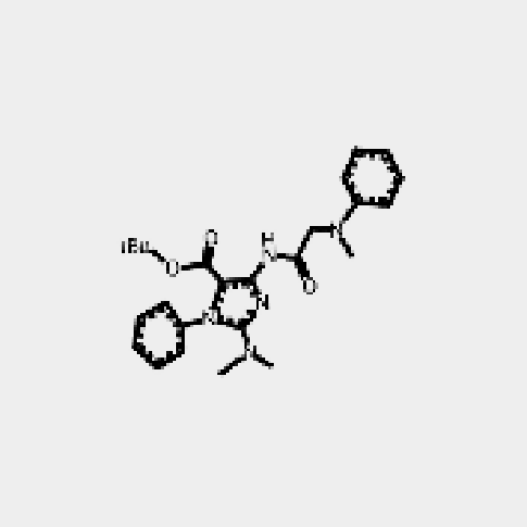 CN(C)c1nc(NC(=O)CN(C)c2ccccc2)c(C(=O)OC(C)(C)C)n1-c1ccccc1